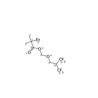 CCC(C)(C)C(=O)OCOCC(C(F)(F)F)C(F)(F)F